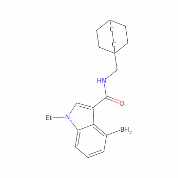 Bc1cccc2c1c(C(=O)NCC13CCC(CC1)CC3)cn2CC